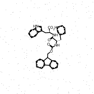 O=C(N[C@@H](Cc1ccccc1)C(=O)N[C@@H](Cc1c[nH]c2ccccc12)C(=O)O)OCC1c2ccccc2-c2ccccc21